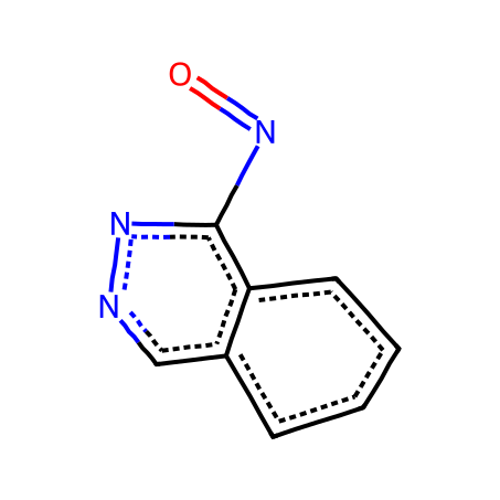 O=Nc1nncc2ccccc12